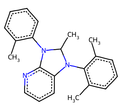 Cc1ccccc1N1c2ncccc2N(c2c(C)cccc2C)C1C